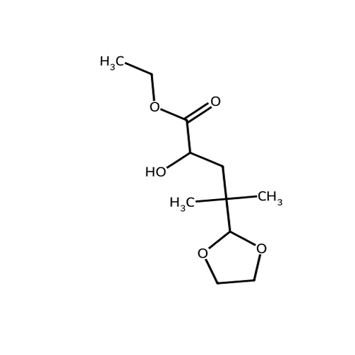 CCOC(=O)C(O)CC(C)(C)C1OCCO1